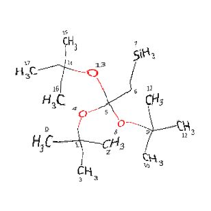 CC(C)(C)OC(C[SiH3])(OC(C)(C)C)OC(C)(C)C